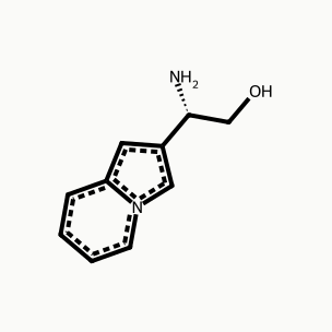 N[C@H](CO)c1cc2ccccn2c1